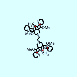 COC(=O)C12CN(CCN3CC4(C(=O)OC)C(=O)C(C(=O)OC)(C3)C(c3ccccn3)N(C)C4c3ccccn3)CC(C(=O)OC)(C1=O)C(c1ccccn1)N(C)C2c1ccccn1